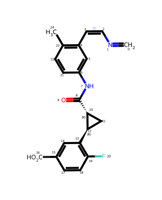 C=N/C=C\c1cc(NC(=O)[C@@H]2C[C@H]2c2cc(C(=O)O)ccc2F)ccc1C